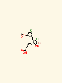 CC(=O)OCc1cc(Cl)cc(CC[C@H]2C(Cl)C(Br)C(O)[C@@H]2C/C=C\CCCC(=O)O)c1